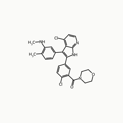 CNc1cc(-c2c(-c3ccc(Cl)c(C(=O)N4CCOCC4)c3)[nH]c3nccc(Cl)c23)ccc1C